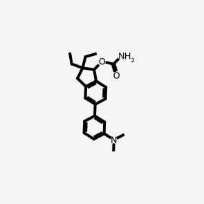 CCC1(CC)Cc2cc(-c3cccc(N(C)C)c3)ccc2C1OC(N)=O